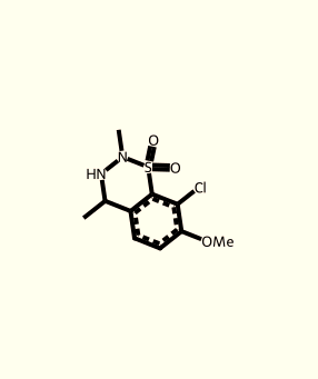 COc1ccc2c(c1Cl)S(=O)(=O)N(C)NC2C